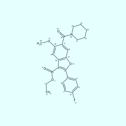 CCOC(=O)c1c(-c2ccc(F)cc2)oc2cc(C(=O)N3CCCCC3)c(OC)cc12